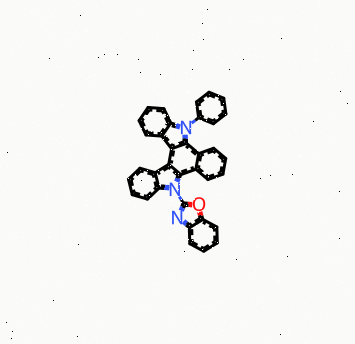 c1ccc(-n2c3ccccc3c3c4c5ccccc5n(-c5nc6ccccc6o5)c4c4ccccc4c32)cc1